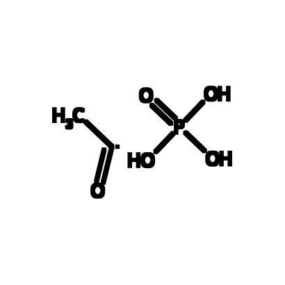 C[C]=O.O=P(O)(O)O